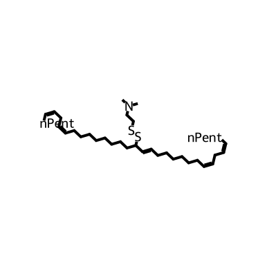 CCCCC/C=C\C/C=C\CCCCCC/C=C/C(CCCCCCCC/C=C\C/C=C\CCCCC)SSCCN(C)C